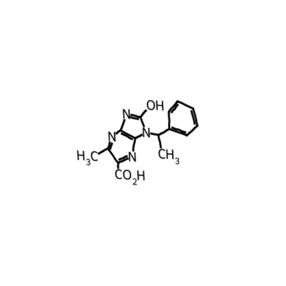 Cc1nc2nc(O)n(C(C)c3ccccc3)c2nc1C(=O)O